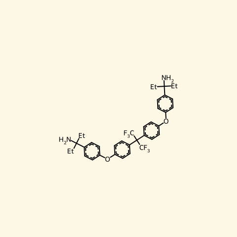 CCC(N)(CC)c1ccc(Oc2ccc(C(c3ccc(Oc4ccc(C(N)(CC)CC)cc4)cc3)(C(F)(F)F)C(F)(F)F)cc2)cc1